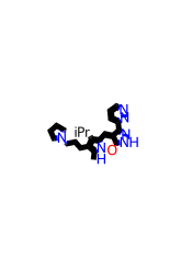 Cc1[nH]c(C=C2C(=O)NN=C2c2cccnn2)c(C(C)C)c1CCCN1CCCC1